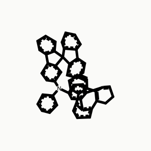 c1ccc2c(c#1)C1=C3CCC=C1c1ccc(N(c4ccccc4)c4ccc5c(c4)C4(c6ccccc6-c6ccccc64)c4ccccc4-5)cc1-c1c3cccc1-2